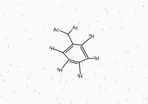 [2H]c1c([2H])c([2H])c(C(C(C)=O)C(C)=O)c([2H])c1[2H]